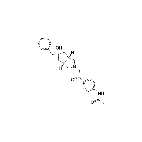 CC(=O)Nc1ccc(C(=O)CN2C[C@@H]3C[C@@](O)(Cc4ccccc4)C[C@@H]3C2)cc1